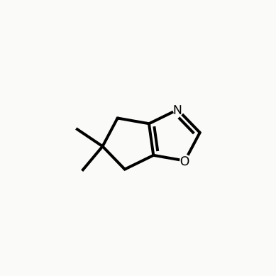 CC1(C)Cc2ncoc2C1